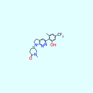 Cc1cc(C(F)(F)F)cc(O)c1-c1cc2c(nn1)N([C@H]1CCC(=O)N(C)C1)CC2